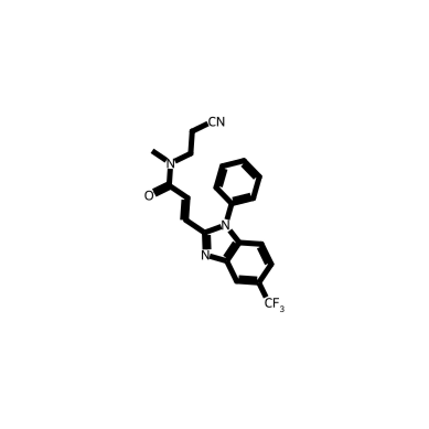 CN(CCC#N)C(=O)/C=C/c1nc2cc(C(F)(F)F)ccc2n1-c1ccccc1